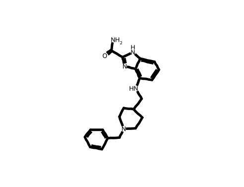 NC(=O)c1nc2c(NCC3CCN(Cc4ccccc4)CC3)cccc2[nH]1